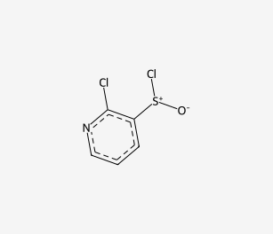 [O-][S+](Cl)c1cccnc1Cl